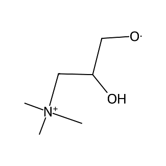 C[N+](C)(C)CC(O)C[O]